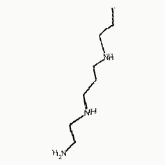 [CH2]CCNCCCNCCN